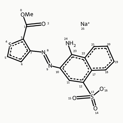 COC(=O)c1sccc1N=Nc1cc(S(=O)(=O)[O-])c2ccccc2c1N.[Na+]